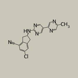 Cc1cnc(-c2cnc(N[C@H]3Cc4cc(Cl)cc(C#N)c4C3)nc2)cn1